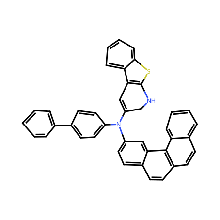 C1=C(N(c2ccc(-c3ccccc3)cc2)c2ccc3ccc4ccc5ccccc5c4c3c2)CNc2sc3ccccc3c21